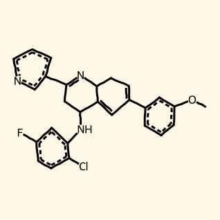 COc1cccc(C2=CCC3N=C(c4cccnc4)CC(Nc4cc(F)ccc4Cl)C3=C2)c1